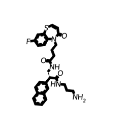 NCCCNC(=O)[C@@H](CNC(=O)CCCN1C(=O)C=CSc2cc(F)ccc21)c1ccc2ccccc2c1